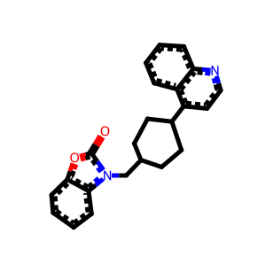 O=c1oc2ccccc2n1CC1CCC(c2ccnc3ccccc23)CC1